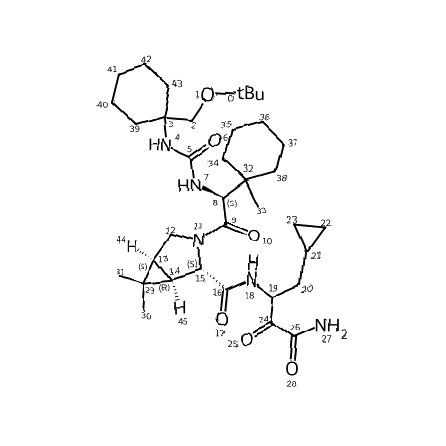 CC(C)(C)OCC1(NC(=O)N[C@H](C(=O)N2C[C@H]3[C@@H]([C@H]2C(=O)NC(CC2CC2)C(=O)C(N)=O)C3(C)C)C2(C)CCCCC2)CCCCC1